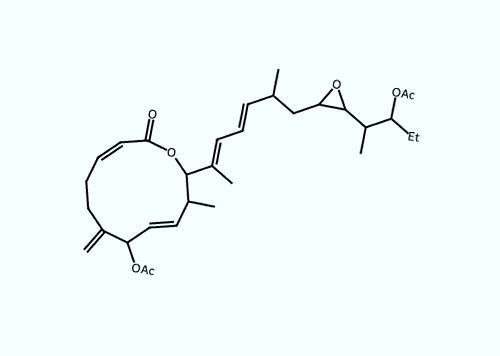 C=C1CC/C=C\C(=O)OC(/C(C)=C/C=C/C(C)CC2OC2C(C)C(CC)OC(C)=O)C(C)/C=C/C1OC(C)=O